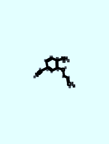 C=CCOc1cc(C#N)ccc1N